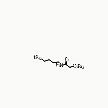 CC(C)COCC(=O)NCCCCC(C)(C)C